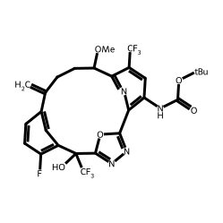 C=C1CCC(OC)c2nc(c(NC(=O)OC(C)(C)C)cc2C(F)(F)F)-c2nnc(o2)C(O)(C(F)(F)F)c2cc1ccc2F